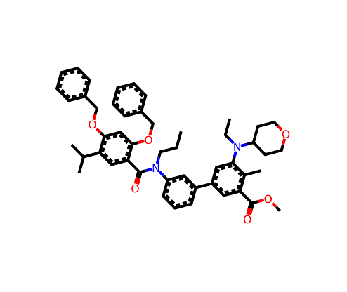 CCCN(C(=O)c1cc(C(C)C)c(OCc2ccccc2)cc1OCc1ccccc1)c1cccc(-c2cc(C(=O)OC)c(C)c(N(CC)C3CCOCC3)c2)c1